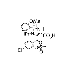 CCC1(c2ccccc2OC)NC(C(=O)O)=C(C(OS(C)(=O)=O)c2ccc(Cl)cc2)N1C(C)C